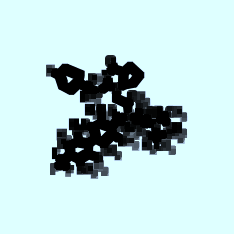 Bc1c(B)c(C(F)(F)F)c(B)c(B)c1-c1c(B)c(B)c(C(B)(B)N(C(=O)Cn2c(SC(B)(B)c3ccc(F)cc3)nc(=O)c3c2CCC3)C(B)(B)C(B)(B)N(C(B)(B)C)C(B)(B)C)c(B)c1B